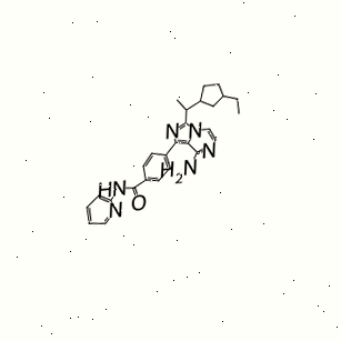 CCC1CCC(C(C)c2nc(-c3ccc(C(=O)Nc4ccccn4)cc3)c3c(N)nccn23)C1